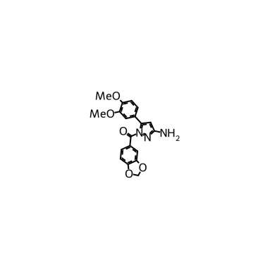 COc1ccc(-c2cc(N)nn2C(=O)c2ccc3c(c2)OCO3)cc1OC